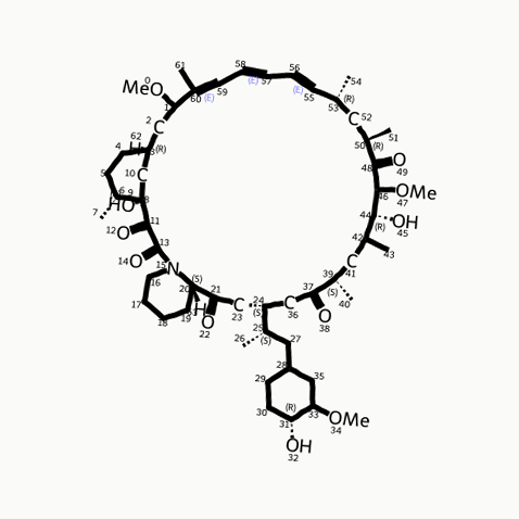 COC1C[C@H]2CC[C@@H](C)[C@@](O)(C2)C(=O)C(=O)N2CCCC[C@H]2C(=O)C[C@@H]([C@@H](C)CC2CC[C@@H](O)C(OC)C2)CC(=O)[C@@H](C)CC(C)[C@@H](O)C(OC)C(=O)[C@H](C)C[C@@H](C)/C=C/C=C/C=C/1C